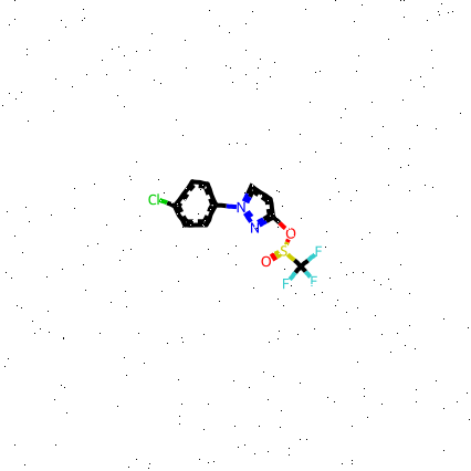 O=S(Oc1ccn(-c2ccc(Cl)cc2)n1)C(F)(F)F